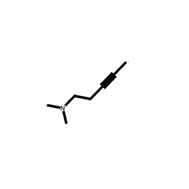 [CH2]C#CCCN(C)C